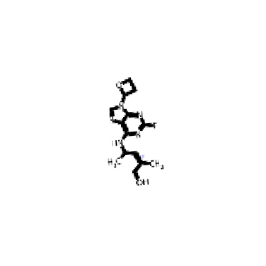 C/C(=C/C(C)Nc1nc(F)nc2c1ncn2C1CCO1)CO